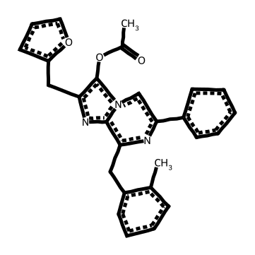 CC(=O)Oc1c(Cc2ccco2)nc2c(Cc3ccccc3C)nc(-c3ccccc3)cn12